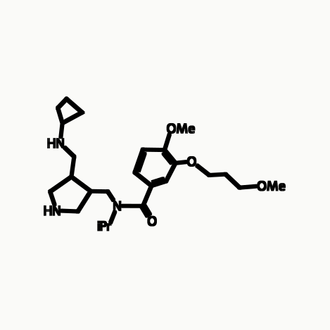 COCCCOc1cc(C(=O)N(CC2CNCC2CNC2CCC2)C(C)C)ccc1OC